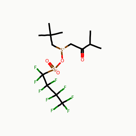 CC(C)C(=O)C[S+](CC(C)(C)C)OS(=O)(=O)C(F)(F)C(F)(F)C(F)(F)C(F)(F)F